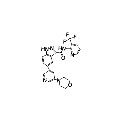 O=C(Nc1ncccc1C(F)(F)F)c1n[nH]c2ccc(-c3cncc(N4CCOCC4)c3)cc12